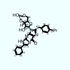 CC(C)c1ccc(Sc2nc3c(=O)n4cc(-c5ccccc5)[nH]c4nc3n2[C@@H]2OC3COP(O)O[C@H]3C2O)cc1